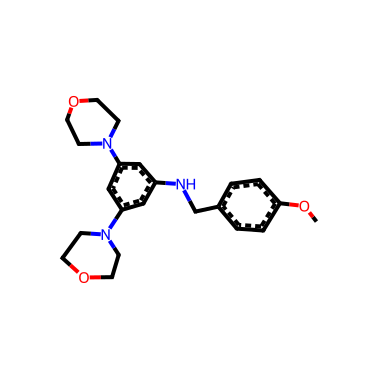 COc1ccc(CNc2cc(N3CCOCC3)cc(N3CCOCC3)c2)cc1